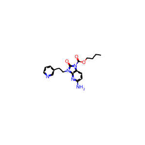 CCCCOC(=O)n1c(=O)n(CCc2cccnc2)c2nc(N)ccc21